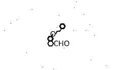 O=CC1CCCc2ccc(OCCCc3ccccc3)cc21